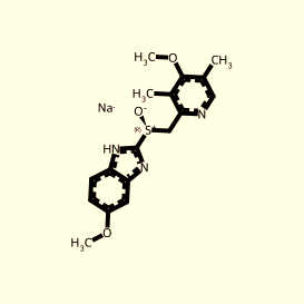 COc1ccc2[nH]c([S@@+]([O-])Cc3ncc(C)c(OC)c3C)nc2c1.[Na]